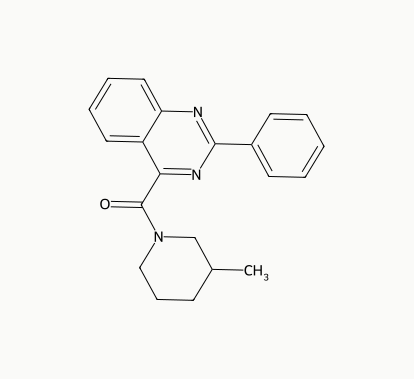 CC1CCCN(C(=O)c2nc(-c3ccccc3)nc3ccccc23)C1